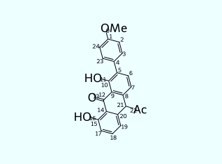 COc1ccc(-c2ccc3c(c2O)C(=O)c2c(O)cccc2C3C(C)=O)cc1